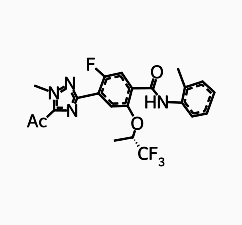 CC(=O)c1nc(-c2cc(O[C@@H](C)C(F)(F)F)c(C(=O)Nc3ccccc3C)cc2F)nn1C